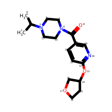 CC(C)N1CCN(C(=O)c2ccc(OC3CCOC3)nc2)CC1